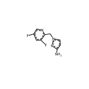 Nc1ccn(Cc2ncc(F)cc2F)n1